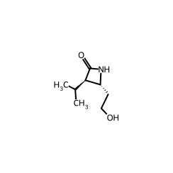 CC(C)[C@H]1C(=O)N[C@@H]1CCO